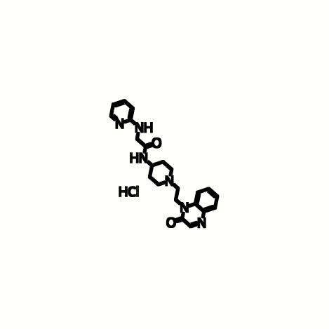 Cl.O=C(CNc1ccccn1)NC1CCN(CCn2c(=O)cnc3ccccc32)CC1